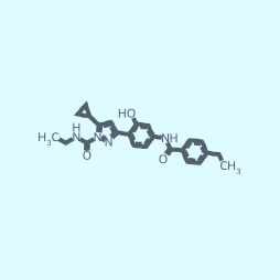 CCNC(=O)n1nc(-c2ccc(NC(=O)c3ccc(CC)cc3)cc2O)cc1C1CC1